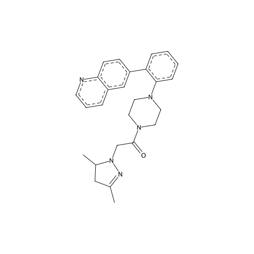 CC1=NN(CC(=O)N2CCN(c3ccccc3-c3ccc4ncccc4c3)CC2)C(C)C1